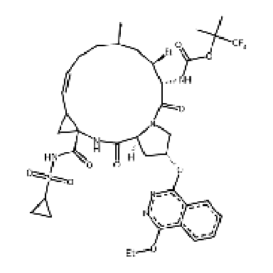 CCOc1nnc(O[C@@H]2C[C@H]3C(=O)N[C@]4(C(=O)NS(=O)(=O)C5CC5)CC4/C=C\CC[C@@H](C)C[C@@H](CC)[C@H](NC(=O)OC(C)(C)C(F)(F)F)C(=O)N3C2)c2ccccc12